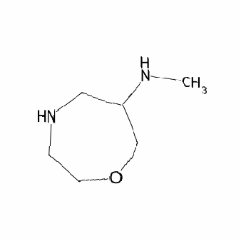 CNC1CNCCOC1